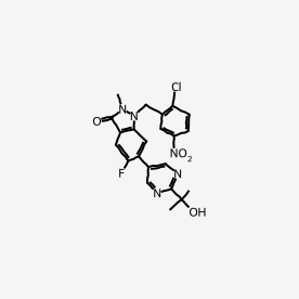 Cn1c(=O)c2cc(F)c(-c3cnc(C(C)(C)O)nc3)cc2n1Cc1cc([N+](=O)[O-])ccc1Cl